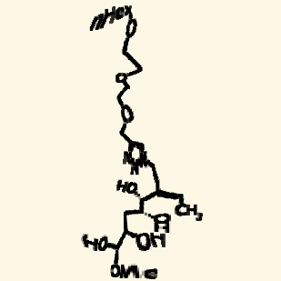 C/C=C(/Cn1cc(COCCOCCOCCCCCC)nn1)[C@@H](O)[C@H](O)C[C@@H](O)[C@H](O)OC